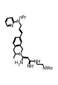 CCCN(C/C=C/c1ccc2c(c1)CN(/C(N)=C/C(=N)NCCNC)C(C)C2)c1ccccn1